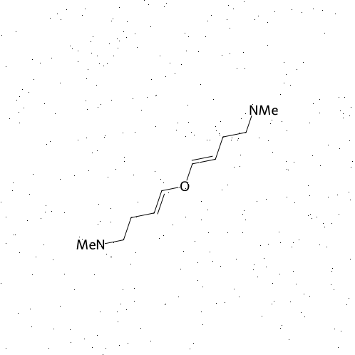 CNCCC=COC=CCCNC